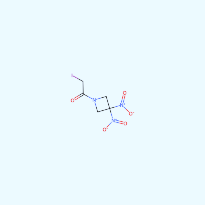 O=C(CI)N1CC([N+](=O)[O-])([N+](=O)[O-])C1